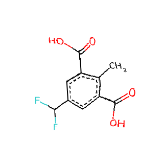 Cc1c(C(=O)O)cc(C(F)F)cc1C(=O)O